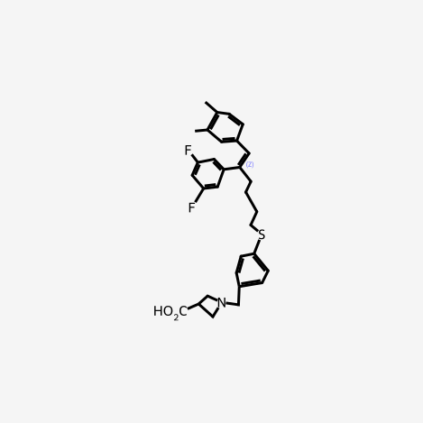 Cc1ccc(/C=C(/CCCCSc2ccc(CN3CC(C(=O)O)C3)cc2)c2cc(F)cc(F)c2)cc1C